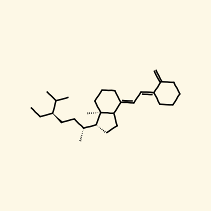 C=C1CCCC/C1=C\C=C1/CCC[C@@]2(C)C1CC[C@@H]2[C@H](C)CC[C@@H](CC)C(C)C